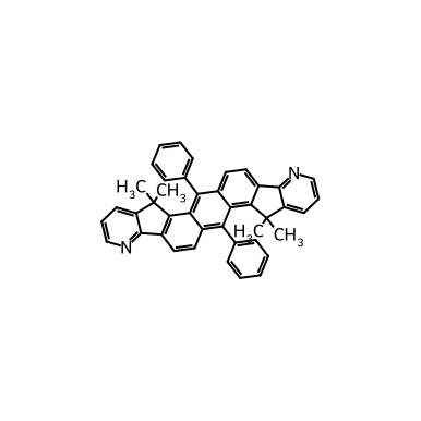 CC1(C)c2cccnc2-c2ccc3c(-c4ccccc4)c4c5c(ccc4c(-c4ccccc4)c3c21)-c1ncccc1C5(C)C